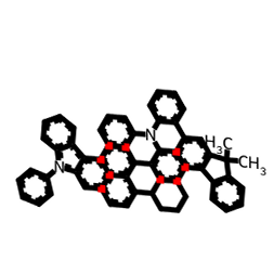 CC1(C)c2ccccc2-c2ccc(-c3ccccc3N(c3cccc(-c4cccc5c4c4ccccc4n5-c4ccccc4)c3)c3ccccc3-c3cccc4cccc(C5CCCCC5)c34)cc21